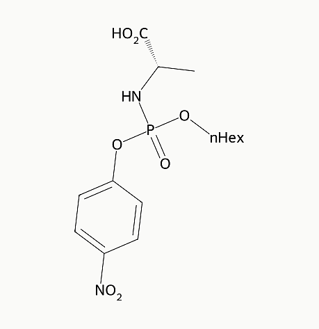 CCCCCCOP(=O)(N[C@@H](C)C(=O)O)Oc1ccc([N+](=O)[O-])cc1